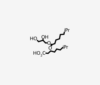 CC(C)CCCCCC(=O)O.CC(C)CCCCCC(=O)OCC(O)CO